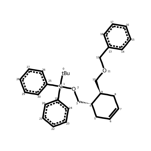 CC(C)(C)[Si](OC[C@H]1CC=CC[C@@H]1COCc1ccccc1)(c1ccccc1)c1ccccc1